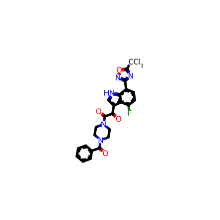 O=C(C(=O)N1CCN(C(=O)c2ccccc2)CC1)c1c[nH]c2c(-c3noc(C(Cl)(Cl)Cl)n3)ccc(F)c12